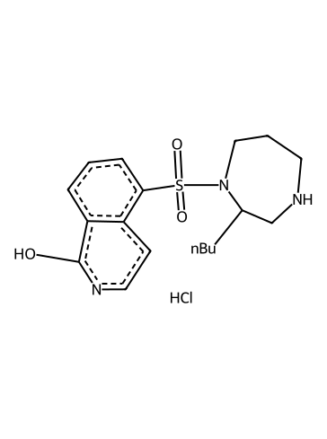 CCCCC1CNCCCN1S(=O)(=O)c1cccc2c(O)nccc12.Cl